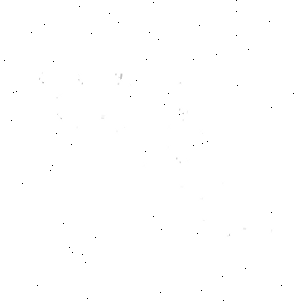 CCc1nc(N)nc(N)c1-c1ccc(NCc2ccc(F)cc2)c([N+](=O)[O-])c1